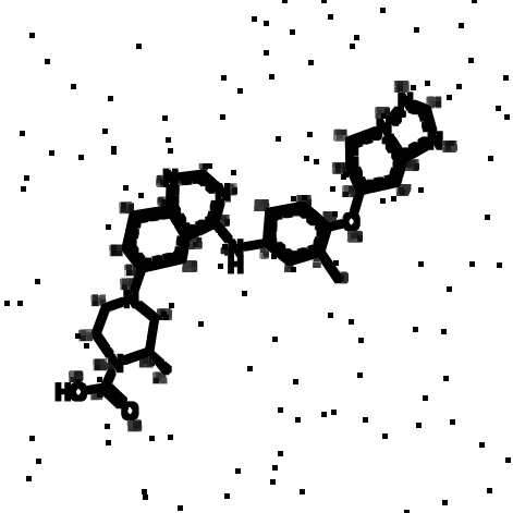 Cc1cc(Nc2ncnc3ccc(N4CCN(C(=O)O)[C@H](C)C4)cc23)ccc1Oc1ccn2ncnc2c1